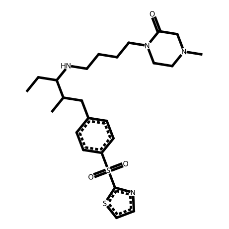 CCC(NCCCCN1CCN(C)CC1=O)C(C)Cc1ccc(S(=O)(=O)c2nccs2)cc1